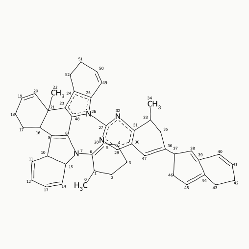 CC1CCCC=C1N1C2=C(C3C=CC=CC31)C1CCC=CC1(C)c1c3c(n(-c4ncc5c(n4)C(C)CC(C4C=C6C=CCCC6=CC4)=C5)c12)C=CCC3